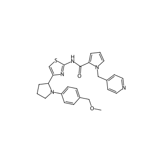 COCc1ccc(N2CCCC2c2csc(NC(=O)c3cccn3Cc3ccncc3)n2)cc1